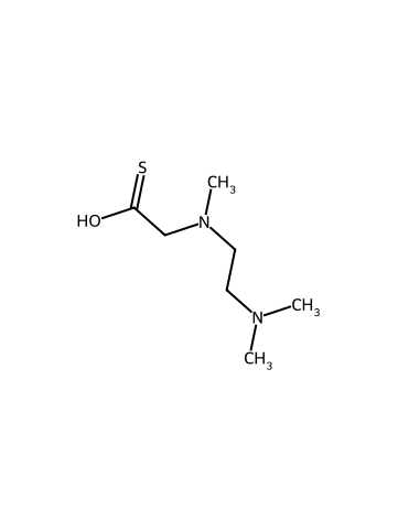 CN(C)CCN(C)CC(O)=S